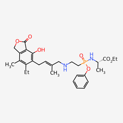 CCOC(=O)[C@H](C)NP(=O)(CCNC/C(C)=C/Cc1c(O)c2c(c(C)c1CC)COC2=O)Oc1ccccc1